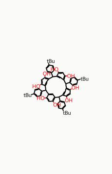 CC(C)(C)c1ccc(C2c3cc(c(O)cc3O)C(c3ccc(C(C)(C)C)cc3)c3cc(c(O)cc3O)C(c3ccc(C(C)(C)C)cc3)c3cc(c(O)cc3O)C(c3ccc(C(C)(C)C)cc3)c3cc2c(O)cc3O)cc1